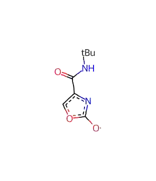 CC(C)(C)NC(=O)c1coc([O])n1